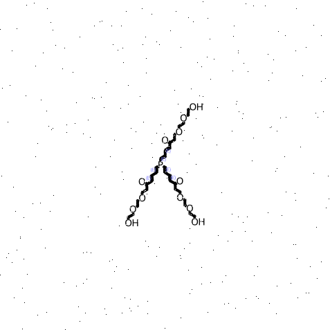 O=C(/C=C/C=C/P(/C=C/C=C/C(=O)CCOCCOCCO)/C=C/C=C/C(=O)CCOCCOCCO)CCOCCOCCO